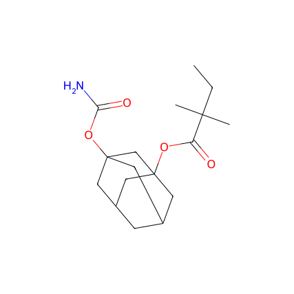 CCC(C)(C)C(=O)OC12CC3CC(CC(OC(N)=O)(C3)C1)C2